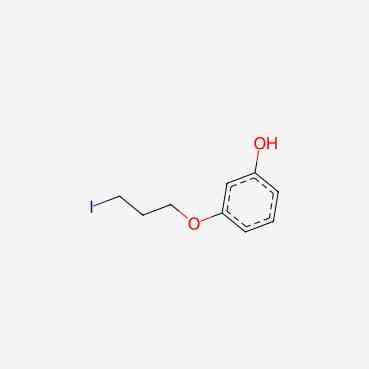 Oc1cccc(OCCCI)c1